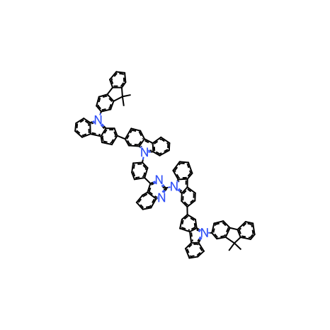 CC1(C)c2ccccc2-c2ccc(-n3c4ccccc4c4ccc(-c5ccc6c7ccccc7n(-c7cccc(-c8nc(-n9c%10ccccc%10c%10ccc(-c%11ccc%12c%13ccccc%13n(-c%13ccc%14c(c%13)C(C)(C)c%13ccccc%13-%14)c%12c%11)cc%109)nc9ccccc89)c7)c6c5)cc43)cc21